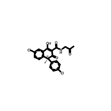 CC(=O)CNC(=O)C1=C(O)c2cc(Cl)ccc2[C@](C)(c2ccc(Cl)cc2)C1=O